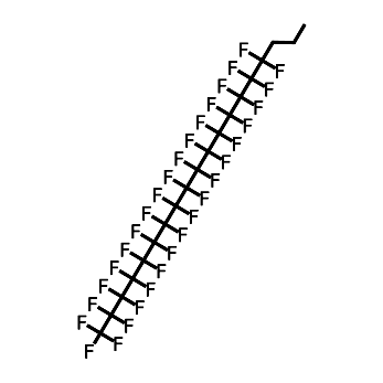 CCCC(F)(F)C(F)(F)C(F)(F)C(F)(F)C(F)(F)C(F)(F)C(F)(F)C(F)(F)C(F)(F)C(F)(F)C(F)(F)C(F)(F)C(F)(F)C(F)(F)C(F)(F)C(F)(F)F